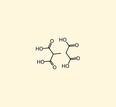 CC(C(=O)O)C(=O)O.O=C(O)CC(=O)O